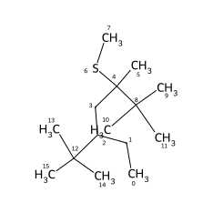 CCC(CC(C)(SC)C(C)(C)C)C(C)(C)C